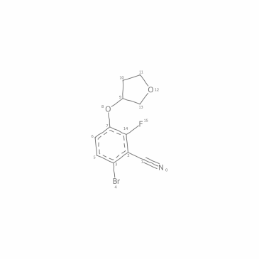 N#Cc1c(Br)ccc(OC2CCOC2)c1F